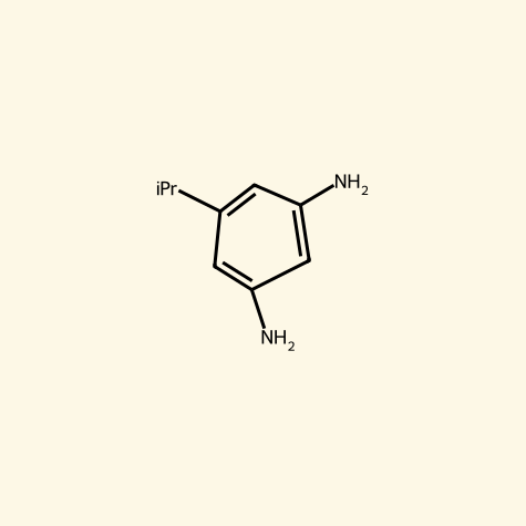 CC(C)c1cc(N)cc(N)c1